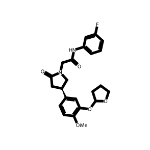 COc1ccc([C@H]2CC(=O)N(CC(=O)Nc3cccc(F)c3)C2)cc1OC1CCCO1